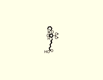 COC(OC)[C@@H]1[C@@H](CC=CCCCC(=O)O)[C@H]2O[C@H]2[C@H]1OC1CCCCO1